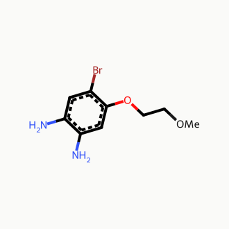 COCCOc1cc(N)c(N)cc1Br